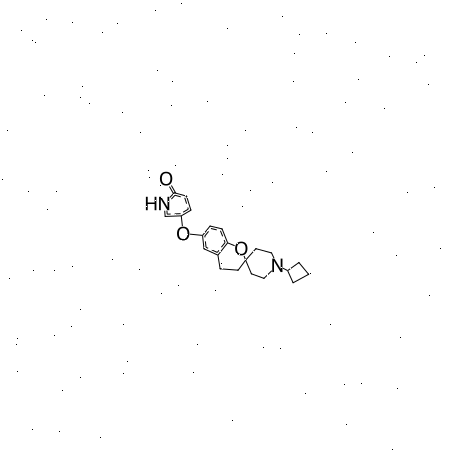 O=c1ccc(Oc2ccc3c(c2)CCC2(CCN(C4CCC4)CC2)O3)c[nH]1